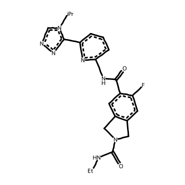 CCNC(=O)N1Cc2cc(F)c(C(=O)Nc3cccc(-c4nncn4C(C)C)n3)cc2C1